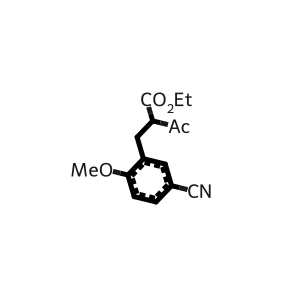 CCOC(=O)C(Cc1cc(C#N)ccc1OC)C(C)=O